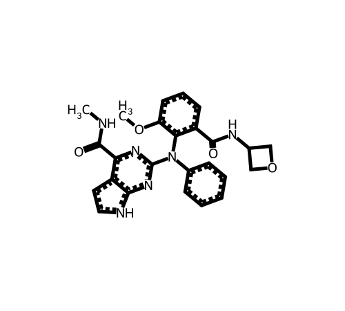 CNC(=O)c1nc(N(c2ccccc2)c2c(OC)cccc2C(=O)NC2COC2)nc2[nH]ccc12